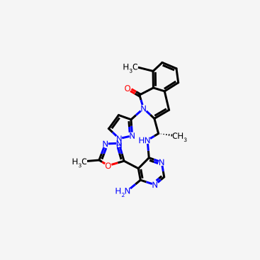 Cc1nnc(-c2c(N)ncnc2N[C@@H](C)c2cc3cccc(C)c3c(=O)n2-c2cc[nH]n2)o1